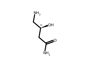 NC[C@@H](O)CC(N)=O